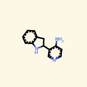 Nc1ccncc1C1Cc2ccccc2N1